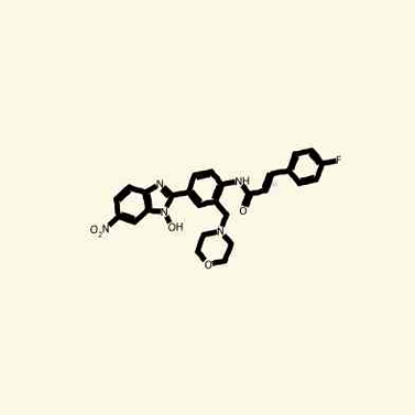 O=C(/C=C/c1ccc(F)cc1)Nc1ccc(-c2nc3ccc([N+](=O)[O-])cc3n2O)cc1CN1CCOCC1